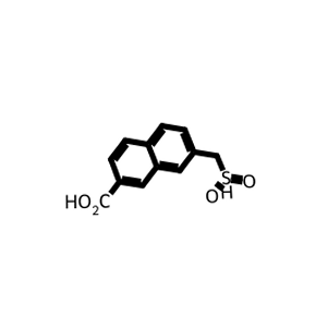 O=C(O)c1ccc2ccc(C[SH](=O)=O)cc2c1